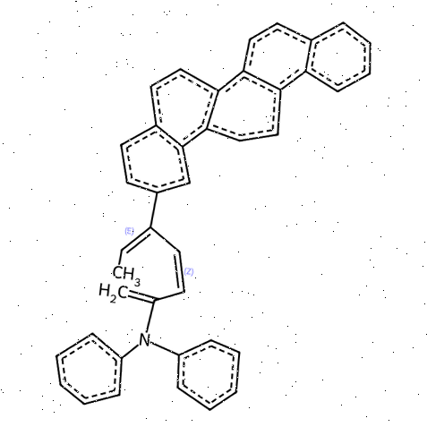 C=C(/C=C\C(=C/C)c1ccc2ccc3c(ccc4c5ccccc5ccc43)c2c1)N(c1ccccc1)c1ccccc1